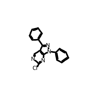 Clc1ncc2c(-c3ccccc3)nn(-c3ccccc3)c2n1